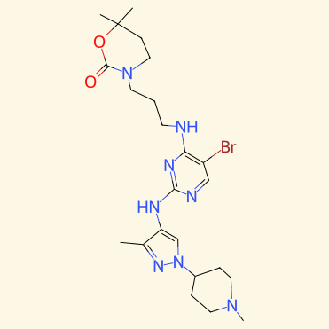 Cc1nn(C2CCN(C)CC2)cc1Nc1ncc(Br)c(NCCCN2CCC(C)(C)OC2=O)n1